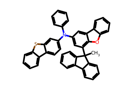 CC1(c2cc(N(c3ccccc3)c3ccc4c(c3)sc3ccccc34)cc3c2oc2ccccc23)c2ccccc2-c2ccccc21